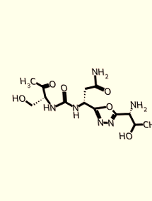 CC(=O)[C@@H](CO)NC(=O)N[C@H](CC(N)=O)c1nnc([C@H](N)C(C)O)o1